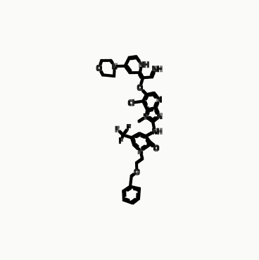 Cn1c(Nc2cc(C(F)(F)F)cn(CCOCc3ccccc3)c2=O)nc2ncc(O/C(C=N)=C3\C=C(N4CCOCC4)C=CN3)c(Cl)c21